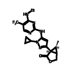 CCNc1nc(Nc2cc([C@]34C(=O)OCC3[C@H]4C)nn2C2CC2)ncc1C(F)(F)F